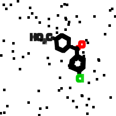 O=C(O)[C@H]1CC[C@@H](C(=O)c2ccc(Cl)cc2)CC1